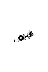 O=C1OOC12CSC(c1nc3ccc(O)cc3s1)=N2